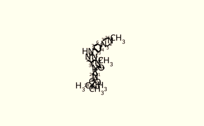 CN1CCN(c2ccc(Nc3ncc4c(n3)N(C)C(=O)N(C3CN(C(=O)OC(C)(C)C)C3)C4)cc2)CC1